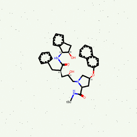 CC(C)(C)NC(=O)C1C[C@H](Oc2ccc3ccccc3c2)CN1C[C@@H](O)C[C@@H](Cc1ccccc1)C(=O)N[C@H]1c2ccccc2C[C@H]1O